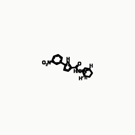 O=C(N[C@@H]1C[C@H]2CC[C@@H]1N2)c1ccc(-c2cccc([N+](=O)[O-])c2)[nH]1